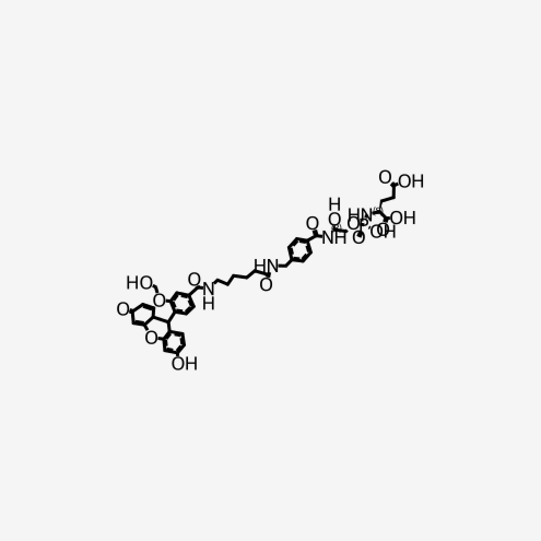 O=C1C=CC2C(=C1)Oc1cc(O)ccc1C2c1ccc(C(=O)NCCCCCC(=O)NCc2ccc(C(=O)N[C@H](O)COP(=O)(O)N[C@@H](CCC(=O)O)C(=O)O)cc2)cc1OCO